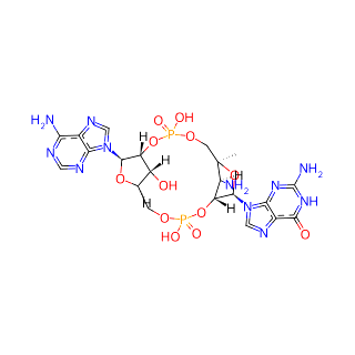 C[C@]12COP(=O)(O)O[C@@H]3[C@H](O)[C@@H](COP(=O)(O)O[C@@H]([C@H](n4cnc5c(=O)[nH]c(N)nc54)O1)[C@@H]2N)O[C@H]3n1cnc2c(N)ncnc21